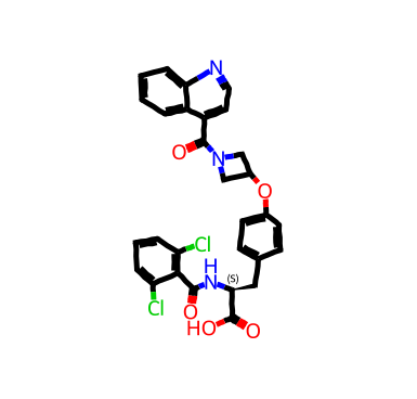 O=C(N[C@@H](Cc1ccc(OC2CN(C(=O)c3ccnc4ccccc34)C2)cc1)C(=O)O)c1c(Cl)cccc1Cl